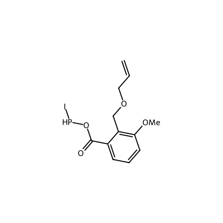 C=CCOCc1c(OC)cccc1C(=O)OPI